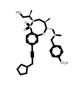 C[C@@H]1CN([C@H](C)CO)S(=O)(=O)c2ccc(C#CCC3CCCC3)cc2O[C@H]1CN(C)Cc1ccc(C(=O)O)cc1